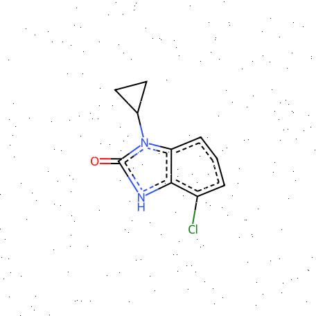 O=c1[nH]c2c(Cl)cccc2n1C1CC1